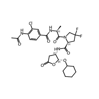 CC(=O)Nc1ccc(C(=O)N[C@@H](C)C(=O)N2CC(F)(F)C[C@H]2C(=O)N[C@H]2CC(=O)O[C@H]2OC2CCCCC2)cc1Cl